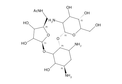 CC(=O)NC[C@H]1O[C@@H](OC2C(O)[C@H](N)CC(N)[C@H]2O[C@H]2OC(CO)[C@@H](O)C(O)C2N)C(O)C1O